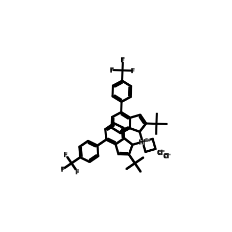 CC(C)(C)C1=Cc2c(-c3ccc(C(F)(F)F)cc3)cccc2[CH]1[Hf+2]1([CH]2C(C(C)(C)C)=Cc3c(-c4ccc(C(F)(F)F)cc4)cccc32)[CH2]C[CH2]1.[Cl-].[Cl-]